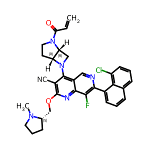 C=CC(=O)N1CC[C@@H]2[C@H]1CN2c1c(C#N)c(OC[C@@H]2CCCN2C)nc2c(F)c(-c3cccc4cccc(Cl)c34)ncc12